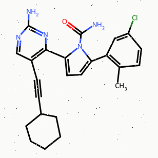 Cc1ccc(Cl)cc1-c1ccc(-c2nc(N)ncc2C#CC2CCCCC2)n1C(N)=O